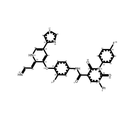 CC(C)n1cc(C(=O)Nc2ccc(OC3=CC(c4cscn4)=CN/C3=C\C=N)c(F)c2)c(=O)n(-c2ccc(F)cc2)c1=O